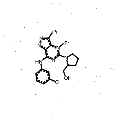 CC(C)c1nnc2c(Nc3cccc(Cl)c3)nc(N3CCCC3CO)n(C(C)C)c1-2